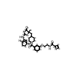 CC1(CC2CCN(C(=O)c3cccc(OCCNC(=O)C4=NC=C4)c3)CC2)SC(N[C@H]2C[C@@H]3CC[C@H]2C3)=NC1=O